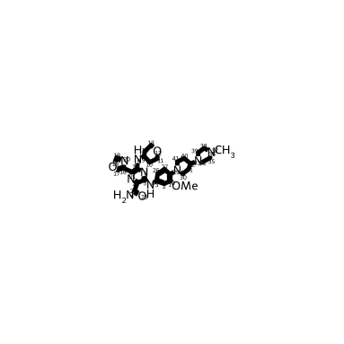 COc1cc(Nc2nc(NC3CCOCC3)c(-c3cocn3)nc2C(N)=O)ccc1N1CCC(N2CCN(C)CC2)CC1